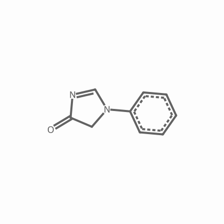 O=C1CN(c2ccccc2)C=N1